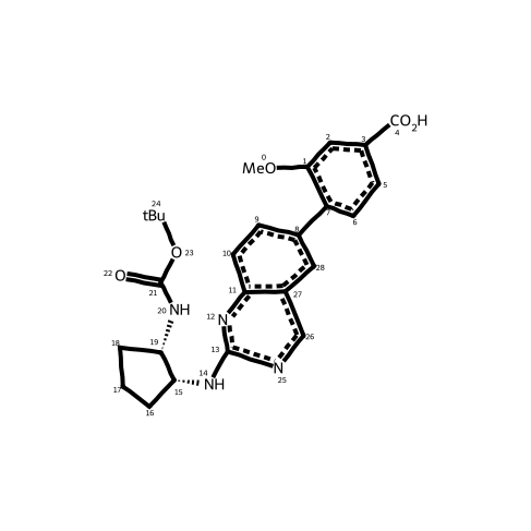 COc1cc(C(=O)O)ccc1-c1ccc2nc(N[C@@H]3CCC[C@@H]3NC(=O)OC(C)(C)C)ncc2c1